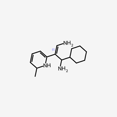 CC1C=CC=C(/C(=C/N)C(N)C2CCCCC2)N1